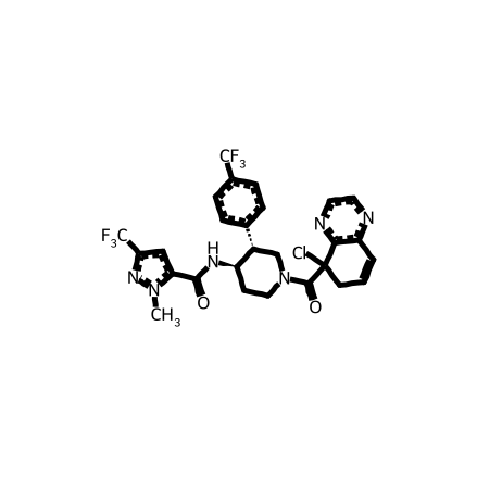 Cn1nc(C(F)(F)F)cc1C(=O)N[C@@H]1CCN(C(=O)C2(Cl)CC=Cc3nccnc32)C[C@H]1c1ccc(C(F)(F)F)cc1